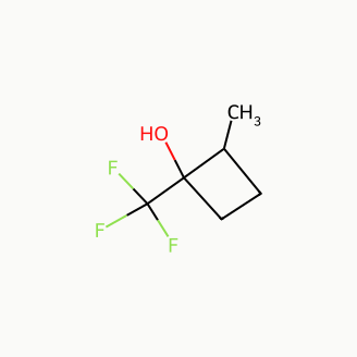 CC1CCC1(O)C(F)(F)F